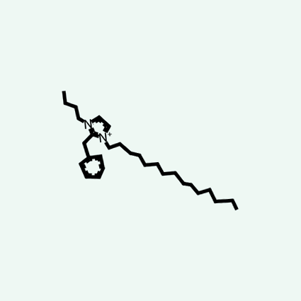 CCCCCCCCCCCCCCC[n+]1ccn(CCCC)c1Cc1ccccc1